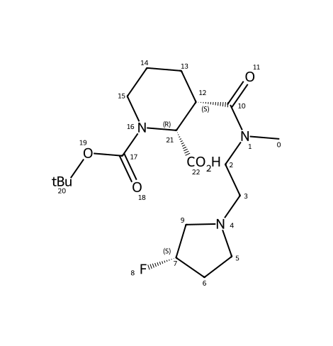 CN(CCN1CC[C@H](F)C1)C(=O)[C@H]1CCCN(C(=O)OC(C)(C)C)[C@H]1C(=O)O